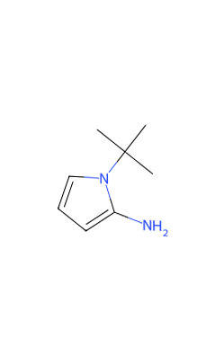 CC(C)(C)n1cccc1N